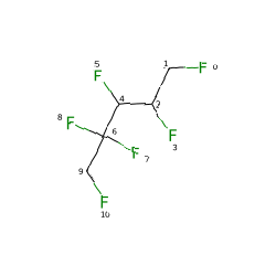 F[CH]C(F)C(F)C(F)(F)CF